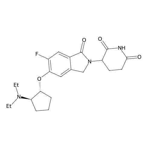 CCN(CC)[C@@H]1CCC[C@H]1Oc1cc2c(cc1F)C(=O)N(C1CCC(=O)NC1=O)C2